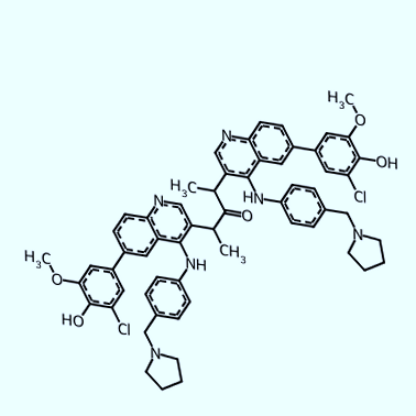 COc1cc(-c2ccc3ncc(C(C)C(=O)C(C)c4cnc5ccc(-c6cc(Cl)c(O)c(OC)c6)cc5c4Nc4ccc(CN5CCCC5)cc4)c(Nc4ccc(CN5CCCC5)cc4)c3c2)cc(Cl)c1O